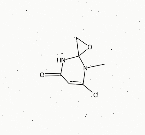 CN1C(Cl)=CC(=O)NC12CO2